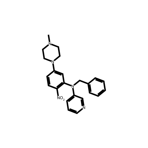 CN1CCN(c2ccc([N+](=O)[O-])c(N(Cc3ccccc3)c3cccnc3)c2)CC1